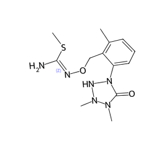 CS/C(N)=N\OCc1c(C)cccc1N1NN(C)N(C)C1=O